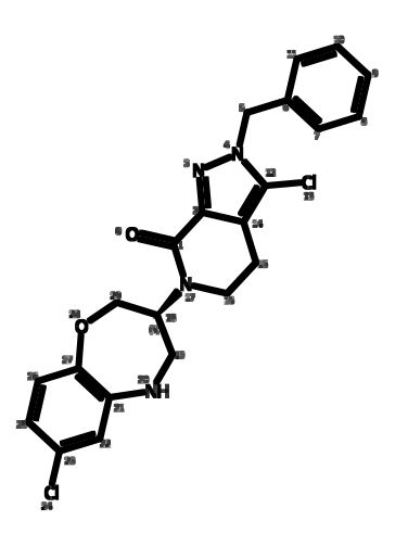 O=C1c2nn(Cc3ccccc3)c(Cl)c2CCN1[C@H]1CNc2cc(Cl)ccc2OC1